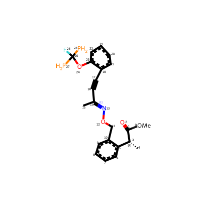 COC(=O)[C@H](C)c1ccccc1CO/N=C(\C)C#Cc1ccccc1OC(F)(P)P